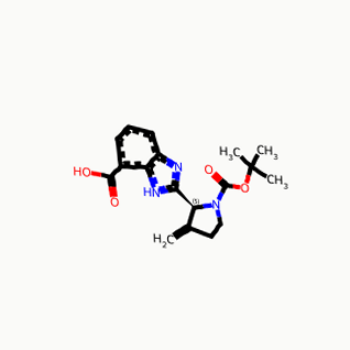 C=C1CCN(C(=O)OC(C)(C)C)[C@@H]1c1nc2cccc(C(=O)O)c2[nH]1